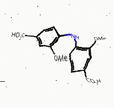 COc1cc(C(=O)O)ccc1Nc1ccc(C(=O)O)cc1OC